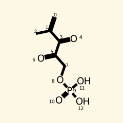 C=C(C)C(=O)C(=O)COP(=O)(O)O